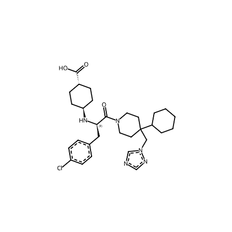 O=C([C@@H](Cc1ccc(Cl)cc1)N[C@H]1CC[C@H](C(=O)O)CC1)N1CCC(Cn2cncn2)(C2CCCCC2)CC1